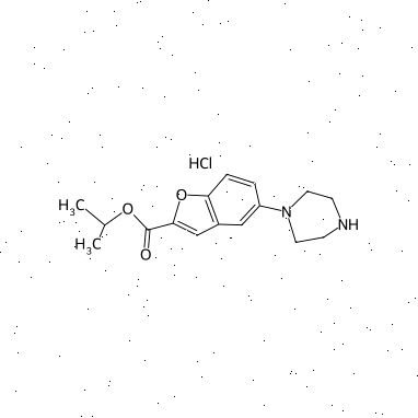 CC(C)OC(=O)c1cc2cc(N3CCNCC3)ccc2o1.Cl